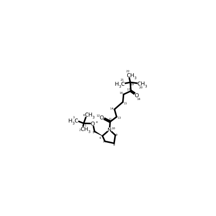 CC(C)(C)OC[C@@H]1CCCN1C(=O)CCCCC(=O)C(C)(C)C